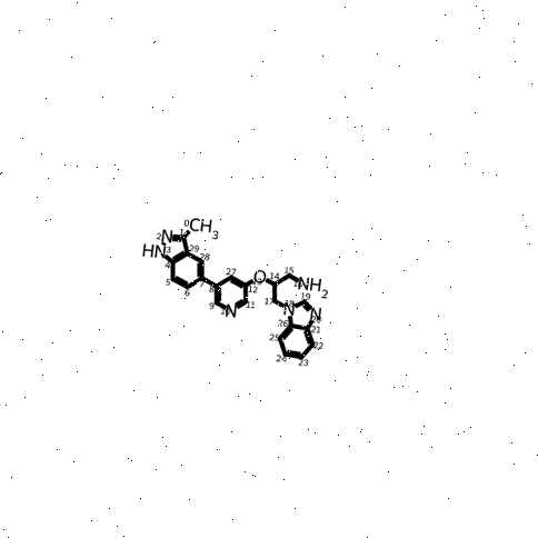 Cc1n[nH]c2ccc(-c3cncc(OC(CN)Cn4cnc5ccccc54)c3)cc12